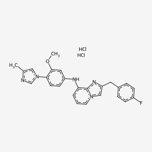 COc1cc(Nc2cccn3cc(Cc4ccc(F)cc4)nc23)ccc1-n1cnc(C)c1.Cl.Cl